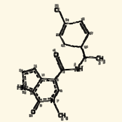 CC(NC(=O)c1cn(C)c(=O)c2[nH]ccc12)C1C=CC(Cl)=CC1